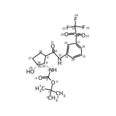 CC(C)(C)OC(=O)N[C@H]1C(C(=O)Nc2cccc(S(=O)(=O)C(F)(F)F)c2)CC[C@H]1O